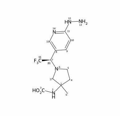 CC1(NC(=O)O)CCN([C@H](c2ccc(NN)nc2)C(F)(F)F)C1